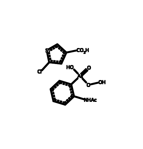 CC(=O)Nc1ccccc1[As](=O)(O)OO.O=C(O)c1csc(Cl)c1